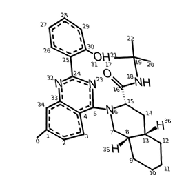 Cc1ccc2c(N3C[C@H]4CCCC[C@H]4C[C@H]3C(=O)NC(C)(C)C)nc(-c3ccccc3O)nc2c1